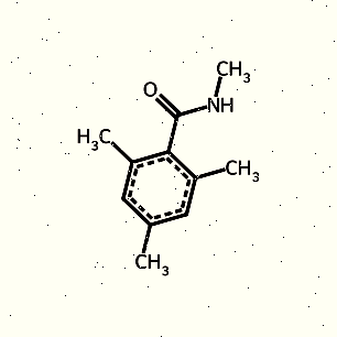 CNC(=O)c1c(C)cc(C)cc1C